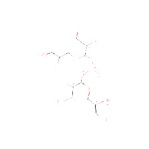 OCC(O)COC(OB(O)OC(OCC(O)CO)C(O)CO)C(O)CO